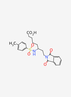 Cc1ccc(S(=O)(=O)NC(CCCCC(=O)O)CCN2C(=O)c3ccccc3C2=O)cc1